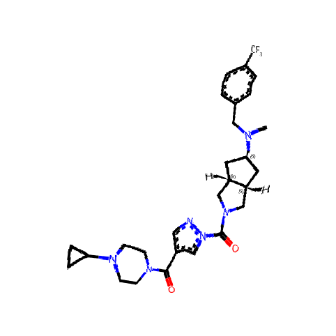 CN(Cc1ccc(C(F)(F)F)cc1)[C@H]1C[C@@H]2CN(C(=O)n3cc(C(=O)N4CCN(C5CC5)CC4)cn3)C[C@@H]2C1